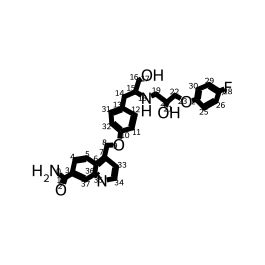 NC(=O)c1ccc2c(COc3ccc(CC(CO)NCC(O)COc4ccc(F)cc4)cc3)ccnc2c1